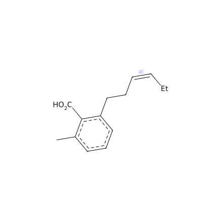 CC/C=C\CCc1cccc(C)c1C(=O)O